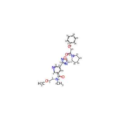 COCCN(C)C(=O)c1cncc(-c2noc([C@H]3CCCCN3C(=O)COc3ccccc3)n2)c1